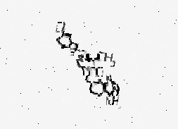 CC1C(=O)N(Cc2ccc3c(N)ncnc3c2)CCN1Cc1cc2cc(Cl)ccc2s1